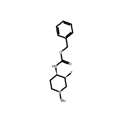 CC(C)(C)N1CC[C@@H](NC(=O)OCc2ccccc2)[C@@H](F)C1